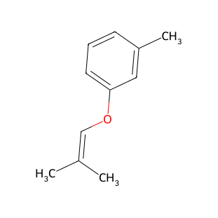 CC(C)=COc1cccc(C)c1